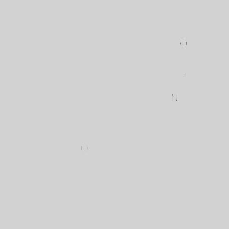 C=C(C)COCCCN1CCCC1=O